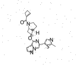 Cc1ncc(-c2cn3nccc3c(O[C@@]3(C)CC4[C@H]3CCN4C(=O)C3=CCC3)n2)s1